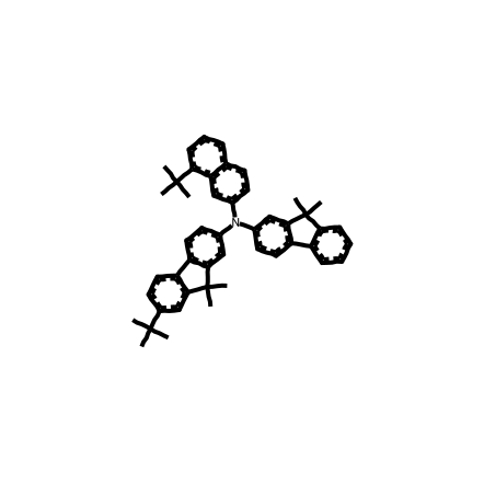 CC(C)(C)c1ccc2c(c1)C(C)(C)c1cc(N(c3ccc4c(c3)C(C)(C)c3ccccc3-4)c3ccc4cccc(C(C)(C)C)c4c3)ccc1-2